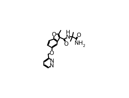 Cc1oc2ccc(OCc3cccnn3)cc2c1C(=O)NC(C)(C)C(N)=O